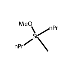 CCC[Si](C)(CCC)OC